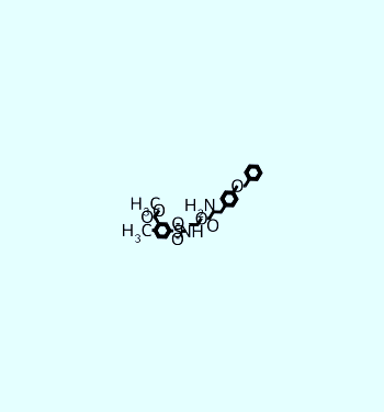 COC(=O)c1cc(S(=O)(=O)NCCOC(=O)[C@@H](N)Cc2ccc(OCc3ccccc3)cc2)ccc1C